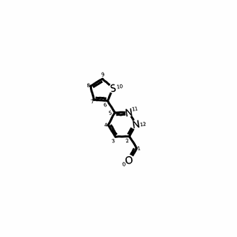 O=Cc1ccc(-c2cccs2)nn1